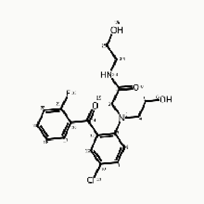 O=C(CN(CCO)c1ccc(Cl)cc1C(=O)c1ccccc1F)NCCO